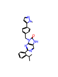 CC(C)c1ccccc1-c1ncc2[nH]c(=O)n(Cc3ccc(-c4ccnn4C)cc3)c2n1